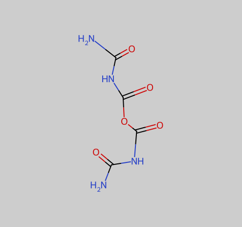 NC(=O)NC(=O)OC(=O)NC(N)=O